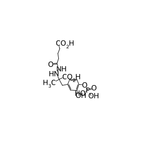 CC(Cc1ccc(OP(=O)(O)O)c(O)c1)(NNC(=O)CCCC(=O)O)C(=O)O